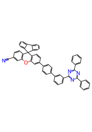 N#Cc1ccc2c(c1)Oc1cc(-c3ccc(-c4cccc(-c5nc(-c6ccccc6)nc(-c6ccccc6)n5)c4)cc3)ccc1C21c2ccccc2-c2ccccc21